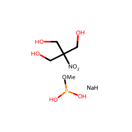 COP(O)O.O=[N+]([O-])C(CO)(CO)CO.[NaH]